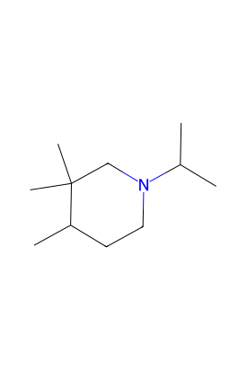 CC(C)N1CCC(C)C(C)(C)C1